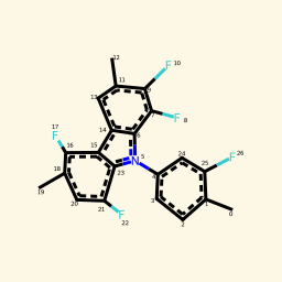 Cc1ccc(-n2c3c(F)c(F)c(C)cc3c3c(F)c(C)cc(F)c32)cc1F